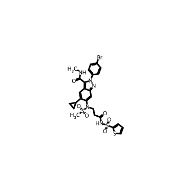 CNC(=O)c1c2cc(C3CC3)c(N(CCC(=O)NS(=O)(=O)c3cccs3)S(C)(=O)=O)cc2nn1-c1ccc(Br)cc1